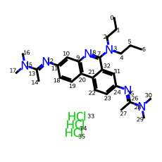 CCCN(CCC)c1nc2cc(/N=C(\C)N(C)C)ccc2c2ccc(/N=C(\C)N(C)C)cc12.Cl.Cl.Cl